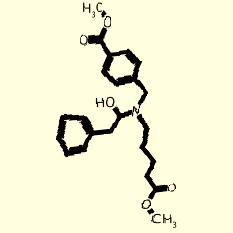 COC(=O)CCCCN(Cc1ccc(C(=O)OC)cc1)C(O)Cc1ccccc1